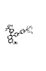 CC(C)N1CCN(c2ccc(C3=C(c4cccc(C(=O)O)c4)CCc4ccc(O)cc43)cc2)CC1